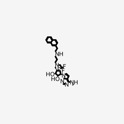 CNc1ncnc2c1ccn2[C@@H]1C[C@H](CN(CCCNCCc2ccc3ccccc3c2)CC(F)(F)F)[C@@H](O)[C@H]1O